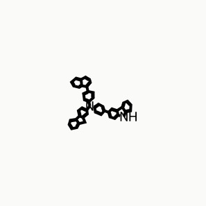 c1ccc2c(c1)Cc1cc(N(c3ccc(-c4ccc5[nH]c6ccccc6c5c4)cc3)c3ccc(-c4cccc5ccccc45)cc3)ccc1-2